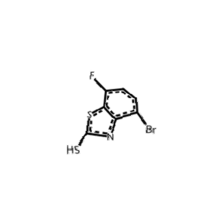 Fc1ccc(Br)c2nc(S)sc12